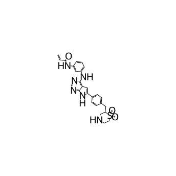 C=CC(=O)Nc1cccc(Nc2ncnc3[nH]c(-c4ccc(CC5CNCCS5(=O)=O)cc4)cc23)c1